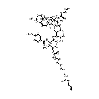 C=CCOC(=O)NCCCCCCNC(=O)OC1COC(OC2C(O)COC(O[C@H]3C[C@H]4[C@@H]5CC=C6C[C@@H](O)CC[C@]6(C)C5CC[C@]4(C)[C@@]3(O)[C@H](C)C(=O)CCC(C)C)C2C)C(OC(=O)c2ccc(OC)cc2)C1O